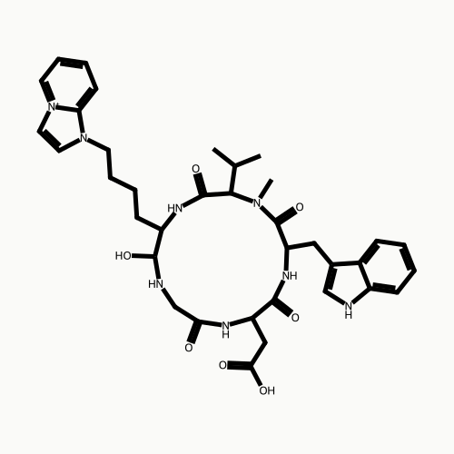 CC(C)C1C(=O)NC(CCCCn2cc[n+]3ccccc23)C(O)NCC(=O)NC(CC(=O)O)C(=O)NC(Cc2c[nH]c3ccccc23)C(=O)N1C